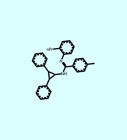 CCCc1ccccc1/N=C(/NC1C(c2ccccc2)C1c1ccccc1)c1ccc(C)cc1